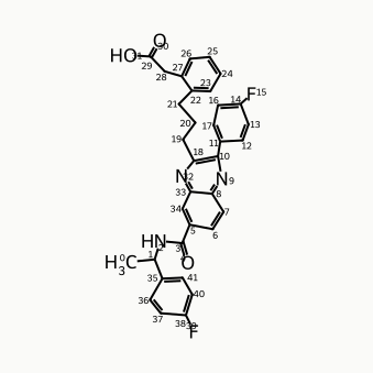 CC(NC(=O)c1ccc2nc(-c3ccc(F)cc3)c(CCCc3ccccc3CC(=O)O)nc2c1)c1ccc(F)cc1